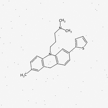 Cc1ccc2c(c1)Cc1ccc(-c3cccs3)cc1N2CCCN(C)C